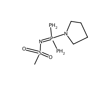 CS(=O)(=O)N=P(P)(P)N1CCCC1